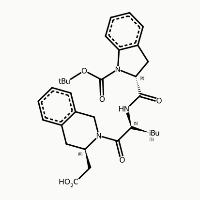 CC[C@H](C)[C@H](NC(=O)[C@H]1Cc2ccccc2N1C(=O)OC(C)(C)C)C(=O)N1Cc2ccccc2C[C@@H]1CC(=O)O